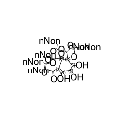 CCCCCCCCCC(=O)O[C@@]1(C(=O)CCCCCCCCC)[C@@](OC(=O)CCCCCCCCC)(C(=O)CCCCCCCCC)[C@@H](O)[C@H](O)[C@@H](O)[C@@]1(OC(=O)CCCCCCCCC)C(=O)CCCCCCCCC